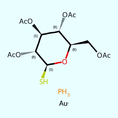 CC(=O)OC[C@H]1O[C@@H](S)[C@H](OC(C)=O)[C@@H](OC(C)=O)[C@@H]1OC(C)=O.P.[Au]